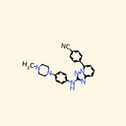 CN1CCN(c2ccc(Nc3nc4cccc(-c5ccc(C#N)cc5)n4n3)cc2)CC1